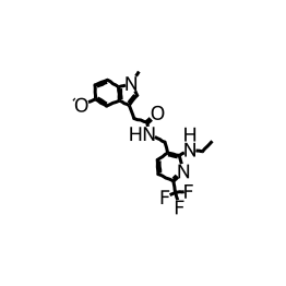 CCNc1nc(C(F)(F)F)ccc1CNC(=O)Cc1cn(C)c2ccc(OC)cc12